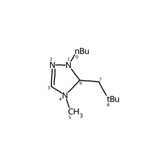 CCCCN1N=CN(C)C1CC(C)(C)C